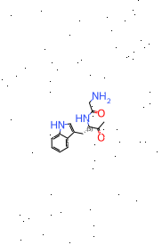 CC(=O)[C@H](Cc1c[nH]c2ccccc12)NC(=O)CN